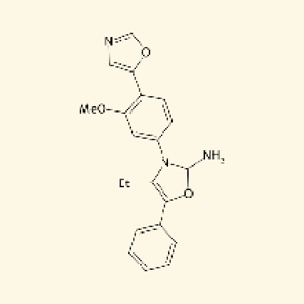 CCC1=C(c2ccccc2)OC(N)N1c1ccc(-c2cnco2)c(OC)c1